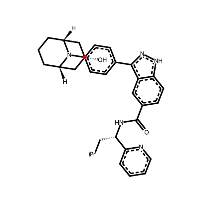 CC(C)C[C@H](NC(=O)c1ccc2[nH]nc(-c3ccc(N4[C@@H]5CCC[C@H]4C[C@@H](O)C5)cc3)c2c1)c1ccccn1